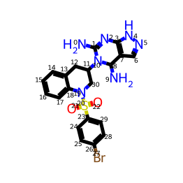 NC1=Nc2[nH]ncc2C(N)N1C1Cc2ccccc2N(S(=O)(=O)c2ccc(Br)cc2)C1